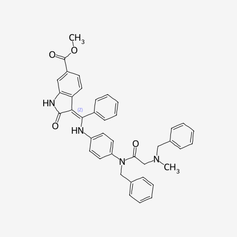 COC(=O)c1ccc2c(c1)NC(=O)/C2=C(\Nc1ccc(N(Cc2ccccc2)C(=O)CN(C)Cc2ccccc2)cc1)c1ccccc1